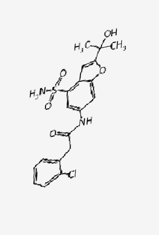 CC(C)(O)c1cc2c(S(N)(=O)=O)cc(NC(=O)Cc3ccccc3Cl)cc2o1